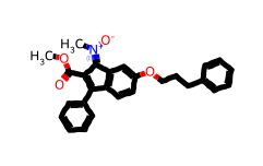 COC(=O)C1=C(c2ccccc2)c2ccc(OCCCc3ccccc3)cc2/C1=[N+](/C)[O-]